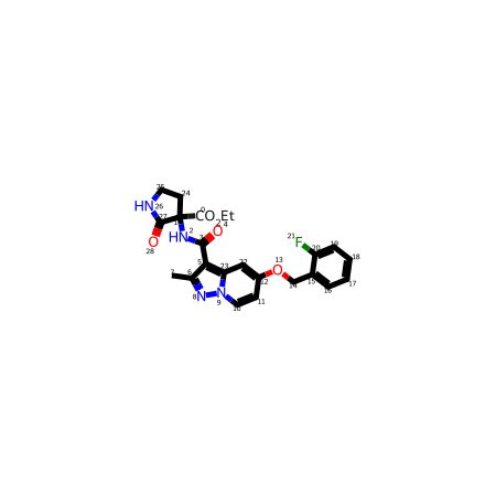 CCOC(=O)C1(NC(=O)c2c(C)nn3ccc(OCc4ccccc4F)cc23)CCNC1=O